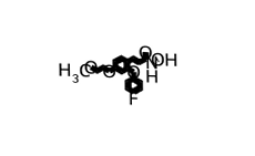 COCCOc1ccc(C=CC(=O)NO)c(Oc2ccc(F)cc2)c1